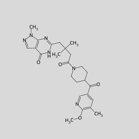 COc1ncc(C(=O)C2CCN(C(=O)CC(C)(C)Cc3nc4c(cnn4C)c(=O)[nH]3)CC2)cc1C